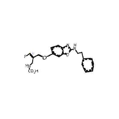 O=C(O)NC/C(=C\F)COc1ccc2nc(NCCc3ccccc3)oc2c1